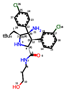 CC(C)(C)C[C@@H]1N[C@@H](C(=O)NCCCO)[C@H](c2cccc(Cl)c2)[C@@]1(N)c1ccc(Cl)cc1